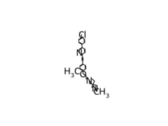 Cc1cc(C#Cc2ccc(-c3ccc(Cl)cc3)cn2)ccc1OCCN1CCC2(CN(C)C2)C1